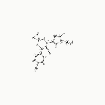 Cc1nc(N2CC3(CC3)CN(c3ccc(Br)cc3)C2=O)sc1S(=O)(=O)O